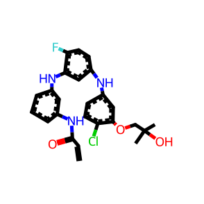 C=CC(=O)Nc1cccc(Nc2cc(Nc3ccc(Cl)c(OCC(C)(C)O)c3)ccc2F)c1